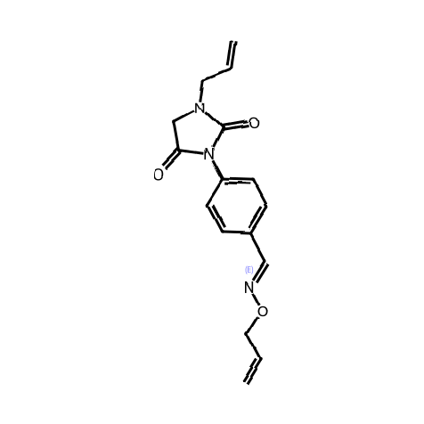 C=CCO/N=C/c1ccc(N2C(=O)CN(CC=C)C2=O)cc1